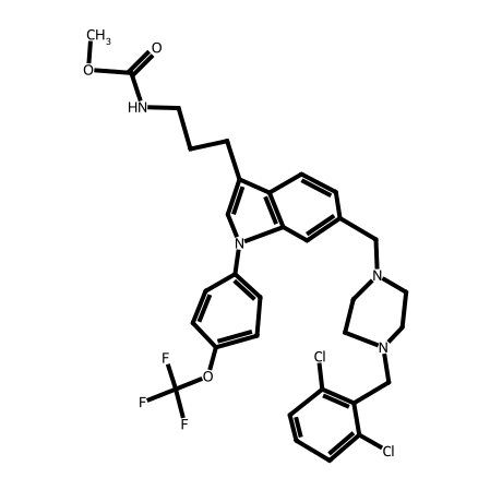 COC(=O)NCCCc1cn(-c2ccc(OC(F)(F)F)cc2)c2cc(CN3CCN(Cc4c(Cl)cccc4Cl)CC3)ccc12